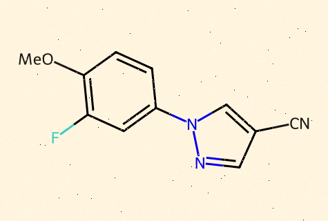 COc1ccc(-n2cc(C#N)cn2)cc1F